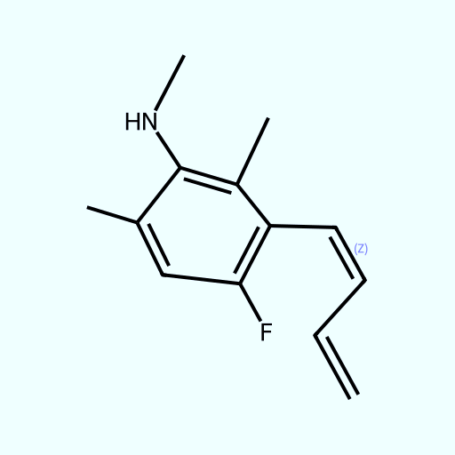 C=C/C=C\c1c(F)cc(C)c(NC)c1C